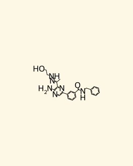 CC(=NNCCO)c1nc(-c2cccc(C(=O)NCc3ccccc3)c2)cnc1N